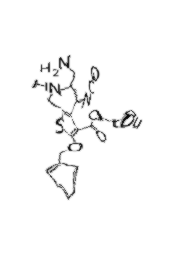 CC(C)(C)OC(=O)c1c(OCc2ccccc2)sc2c1C(N=C=O)C(CN)NC2